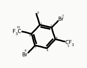 Cc1c(Br)c(C(F)(F)F)cc(Br)c1C(F)(F)F